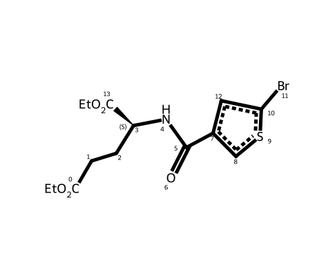 CCOC(=O)CC[C@H](NC(=O)c1csc(Br)c1)C(=O)OCC